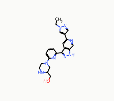 CCn1cc(-c2cc3c(-c4cccc(N5CCNC(CO)C5)n4)n[nH]c3cn2)cn1